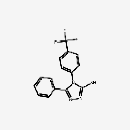 FC(F)(F)c1ccc(-n2c(S)nnc2-c2ccccc2)cc1